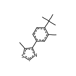 Cc1cc(-c2n[c]sc2C)ccc1C(C)(C)C